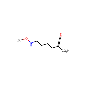 CC(C)(C)ONCCCCC(=C=O)C(=O)O